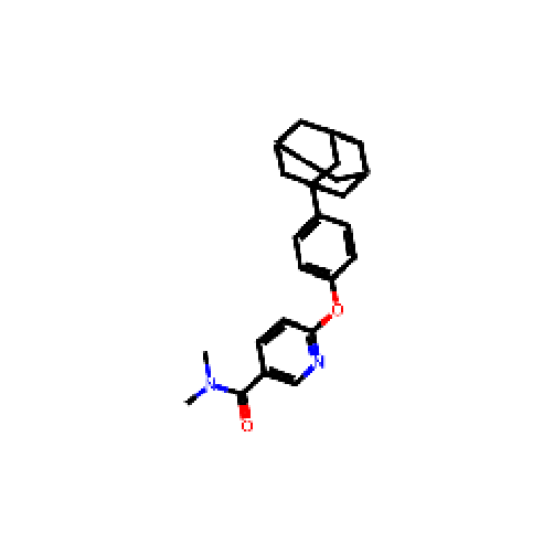 CN(C)C(=O)c1ccc(Oc2ccc(C34CC5CC(CC(C5)C3)C4)cc2)nc1